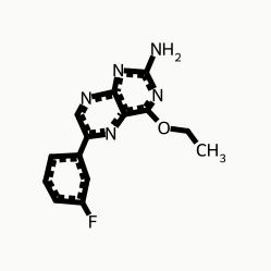 CCOc1nc(N)nc2ncc(-c3cccc(F)c3)nc12